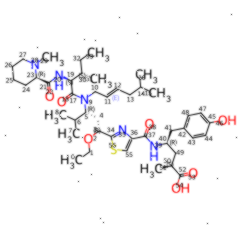 CCO[C@H](C[C@H](C(C)C)N(C/C=C/CC(C)C)C(=O)[C@@H](NC(=O)[C@H]1CCCCN1C)[C@@H](C)CC)c1nc(C(=O)N[C@@H](Cc2ccc(O)cc2)C[C@H](C)C(=O)O)cs1